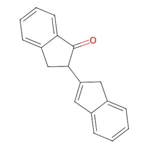 O=C1c2ccccc2CC1C1=Cc2ccccc2C1